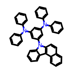 c1ccc(N(c2ccccc2)c2cc(N(c3ccccc3)c3ccccc3)cc(-n3c4ccccc4c4c5ccccc5ccc43)c2)cc1